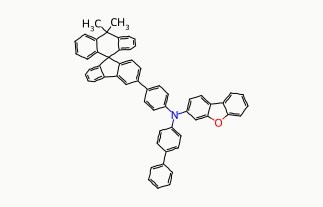 CC1(C)c2ccccc2C2(c3ccccc3-c3cc(-c4ccc(N(c5ccc(-c6ccccc6)cc5)c5ccc6c(c5)oc5ccccc56)cc4)ccc32)c2ccccc21